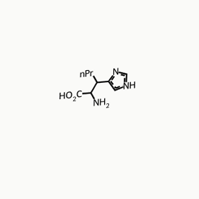 CCCC(c1c[nH]cn1)C(N)C(=O)O